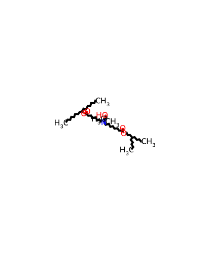 CCCCCCCCC(CCCCCCCC)OC(=O)CCCCCCCN(CCCCCCCC(=O)OCCCC(CCCCC)CCCCC)C(C)(C)CO